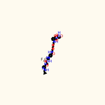 O=C1CCC(N2C(=O)c3cccc(NCCOCCOCCNC(=O)c4ccc(-n5cc(NC(=O)c6coc(-c7ccnc(NCC8CC8)c7)n6)c(C(F)(F)F)n5)cc4)c3C2=O)C(=O)N1